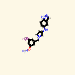 NOc1cc(P)cc(CN2CCC(Nc3ccc4[nH]ncc4c3)C2)c1